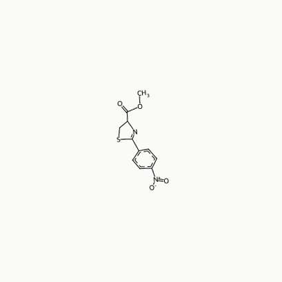 COC(=O)C1CSC(c2ccc([N+](=O)[O-])cc2)=N1